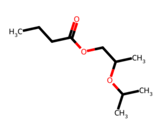 CCCC(=O)OCC(C)OC(C)C